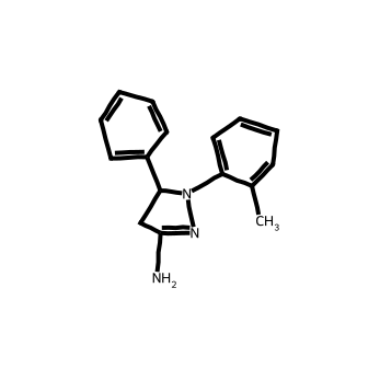 Cc1ccccc1N1N=C(N)CC1c1ccccc1